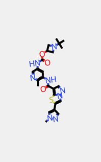 Cc1ncc(NC(=O)OC2CN(C(C)(C)C)C2)cc1NC(=O)c1cnn2cc(-c3cnn(C)c3)sc12